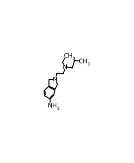 CCCN(CC)CCN1Cc2ccc(N)cc2C1